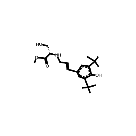 COC(=O)[C@H](CO)NCC=Cc1cc(C(C)(C)C)c(O)c(C(C)(C)C)c1